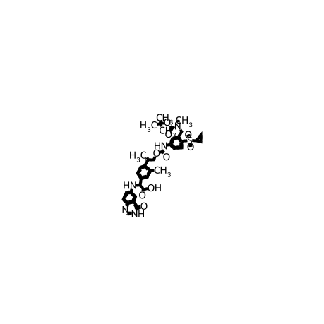 Cc1cc(C(Nc2ccc3nc[nH]c(=O)c3c2)C(=O)O)ccc1[C@@H](C)COC(=O)Nc1ccc(S(=O)(=O)C2CC2)c(CN(C)C(=O)OC(C)(C)C)c1